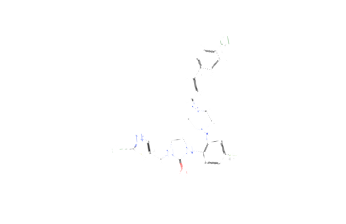 O=C1N(Cc2cnc(Cl)s2)CCN1c1ccc(F)cc1N1CCN(CC=Cc2ccc(Cl)cc2)CC1